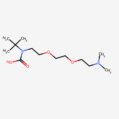 CN(C)CCOCCOCCN(C(=O)O)C(C)(C)C